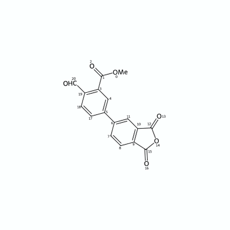 COC(=O)c1cc(-c2ccc3c(c2)C(=O)OC3=O)ccc1C=O